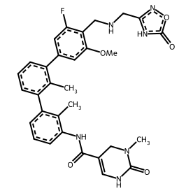 COc1cc(-c2cccc(-c3cccc(NC(=O)C4=CNC(=O)N(C)C4)c3C)c2C)cc(F)c1CNCc1noc(=O)[nH]1